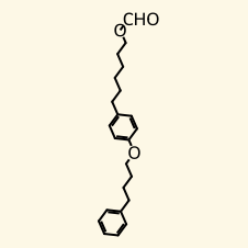 O=[C]OCCCCCCc1ccc(OCCCCc2ccccc2)cc1